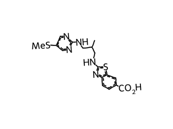 CSc1cnc(NCC(C)CNc2nc3ccc(C(=O)O)cc3s2)nc1